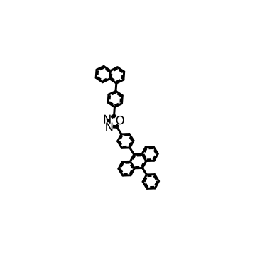 c1ccc(-c2c3ccccc3c(-c3ccc(-c4nnc(-c5ccc(-c6cccc7ccccc67)cc5)o4)cc3)c3ccccc23)cc1